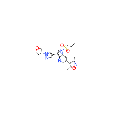 CCCS(=O)(=O)n1cc(-c2cnn(C3CCOC3)c2)c2ncc(-c3c(C)noc3C)cc21